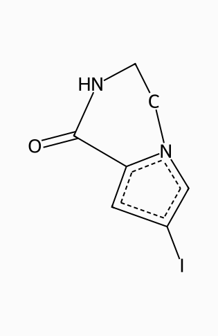 O=C1NCCn2cc(I)cc21